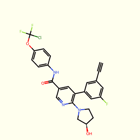 C#Cc1cc(F)cc(-c2cc(C(=O)Nc3ccc(OC(F)(F)Cl)cc3)cnc2N2CC[C@@H](O)C2)c1